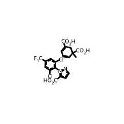 CC1(C(=O)O)C=CC=C(C(=O)O)C1.O=C(O)c1ccnn1-c1c(Cl)cc(C(F)(F)F)cc1Cl